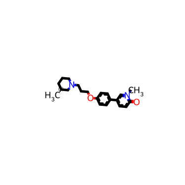 C[C@@H]1CCCN(CCCOc2ccc(-c3ccc(=O)n(C)c3)cc2)C1